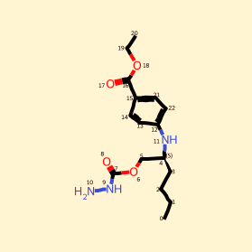 CCCC[C@@H](COC(=O)NN)Nc1ccc(C(=O)OCC)cc1